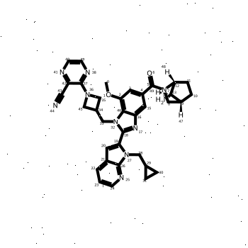 COc1cc(C(=O)N2C[C@H]3CC[C@@H]2[C@@H]3N)cc2nc(-c3cc4cccnc4n3CC3CC3)n(CC3CN(c4nccnc4C#N)C3)c12